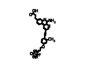 Cc1cc(OCCCC(F)(F)P(=O)(O)O)ccc1C#Cc1cnc2c(N)nc3cc(CCC(=O)O)ccc3c2c1